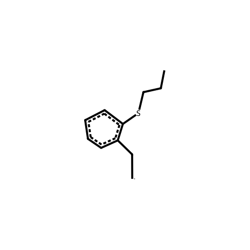 [CH2]Cc1ccccc1SCCC